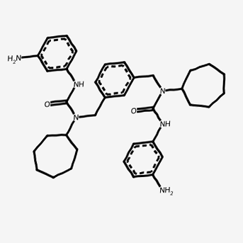 Nc1cccc(NC(=O)N(Cc2cccc(CN(C(=O)Nc3cccc(N)c3)C3CCCCCC3)c2)C2CCCCCC2)c1